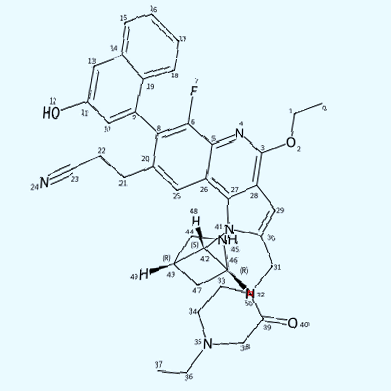 CCOc1nc2c(F)c(-c3cc(O)cc4ccccc34)c(CCC#N)cc2c2c1cc(CN1CCN(CC)CC1=O)n2[C@H]1[C@H]2CN[C@@H]1C2